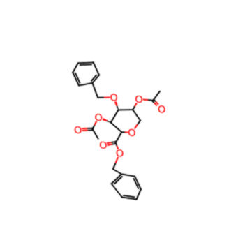 CC(=O)OC1COC(C(=O)OCc2ccccc2)[C@@H](OC(C)=O)[C@H]1OCc1ccccc1